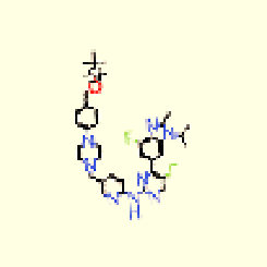 Cc1nc2c(F)cc(-c3nc(Nc4ccc(CN5CCN(c6ccc(CO[Si](C)(C)C(C)(C)C)cc6)CC5)cn4)ncc3F)cc2n1C(C)C